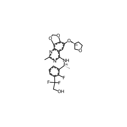 Cc1nc(N[C@H](C)c2cccc(C(F)(F)CO)c2F)c2cc(O[C@H]3CCOC3)c3c(c2n1)OCO3